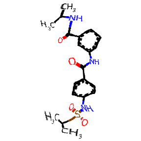 CC(C)NC(=O)c1cccc(NC(=O)c2ccc(NS(=O)(=O)C(C)C)cc2)c1